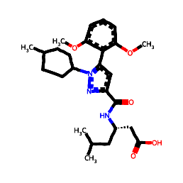 COc1cccc(OC)c1-c1cc(C(=O)N[C@H](CC(=O)O)CC(C)C)nn1C1CCC(C)CC1